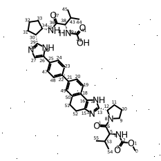 COC(=O)N[C@H](C(=O)N1CCC[C@H]1c1nc2c([nH]1)-c1ccc(-c3ccc(-c4cnc([C@@H]5CCC[C@@H]5NC(=O)[C@@H](NC(=O)O)C(C)C)[nH]4)cc3)cc1CC2)C(C)C